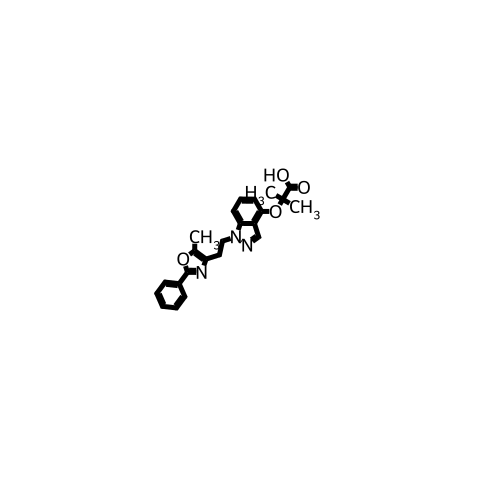 Cc1oc(-c2ccccc2)nc1CCn1ncc2c(OC(C)(C)C(=O)O)cccc21